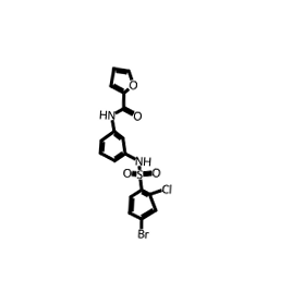 O=C(Nc1cccc(NS(=O)(=O)c2ccc(Br)cc2Cl)c1)c1ccco1